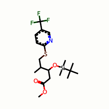 COC(=O)CC(O[Si](C)(C)C(C)(C)C)C(C)CSc1ccc(C(F)(F)F)cn1